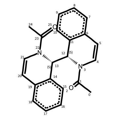 CC(=O)N1C=Cc2ccccc2[C@H]1[C@@H]1c2ccccc2C=CN1C(C)=O